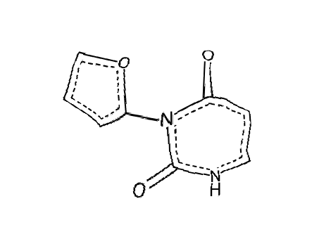 O=c1cc[nH]c(=O)n1-c1ccco1